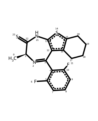 C[C@@H]1N=C(c2c(F)cccc2F)c2c(sc3c2CCCC3)NC1=S